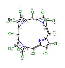 ClC1=C(Cl)c2nc1c(Cl)c1c(Cl)c(Cl)c(c(Cl)c3nc(c(Cl)c4c(Cl)c(Cl)c(c2Cl)n4Cl)C(Cl)=C3Cl)n1Cl.[Fe]